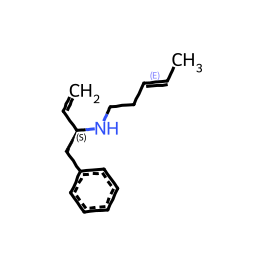 C=C[C@H](Cc1ccccc1)NCC/C=C/C